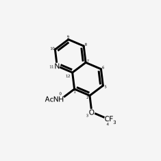 CC(=O)Nc1c(OC(F)(F)F)ccc2cccnc12